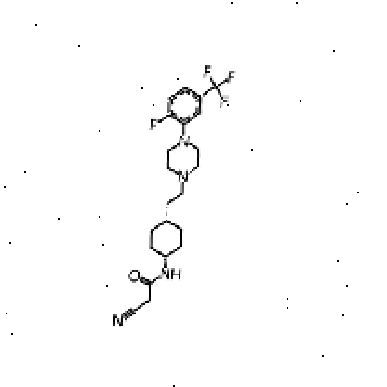 N#CCC(=O)N[C@H]1CC[C@H](CCN2CCN(c3cc(C(F)(F)F)ccc3F)CC2)CC1